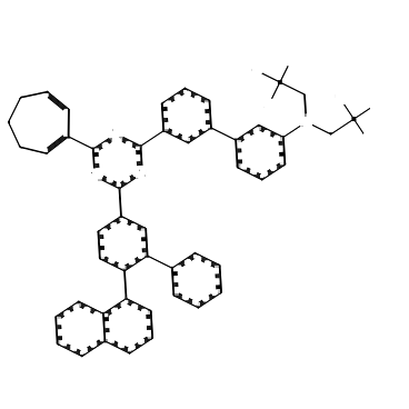 CC(C)(C)CP(CC(C)(C)C)c1cccc(-c2cccc(-c3nc(C4=CCCCC=C4)nc(-c4ccc(-c5cccc6ccccc56)c(-c5ccccc5)c4)n3)c2)c1